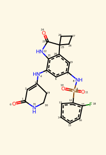 O=C1C=C(Nc2cc(NS(=O)(=O)c3ccccc3F)cc3c2NC(=O)C32CCC2)CCN1